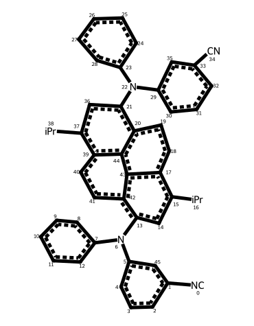 [C-]#[N+]c1cccc(N(c2ccccc2)c2cc(C(C)C)c3ccc4c(N(c5ccccc5)c5cccc(C#N)c5)cc(C(C)C)c5ccc2c3c54)c1